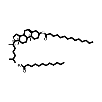 CCCCCCCCCCCC(=O)O.CCCCCCCCCCCCCC(=O)OC1CC[C@@]2(C)C(=CCC3C2CC[C@@]2(C)C3CC[C@@H]2[C@H](C)CCCC(C)C)C1